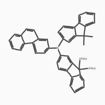 CCCCCCC1(CCCCCC)c2ccccc2-c2ccc(N(c3ccc4c(c3)C(C)(C)c3ccccc3-4)c3ccc4c(ccc5ccccc54)c3)cc21